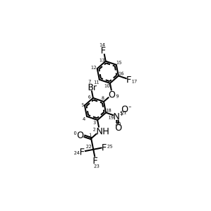 O=C(Nc1ccc(Br)c(Oc2ccc(F)cc2F)c1[N+](=O)[O-])C(F)(F)F